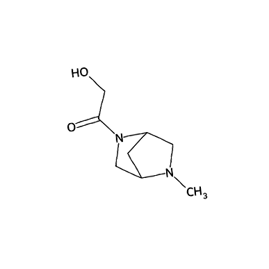 CN1CC2CC1CN2C(=O)CO